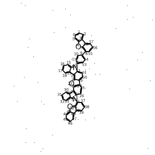 c1ccc2c(c1)oc1c(-c3ccc(-n4c5ccccc5c5c6oc7c(ccc8c7c7ccccc7n8-c7cccc8c7oc7ccccc78)c6ccc54)cc3)cccc12